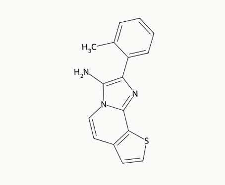 Cc1ccccc1-c1nc2c3sccc3ccn2c1N